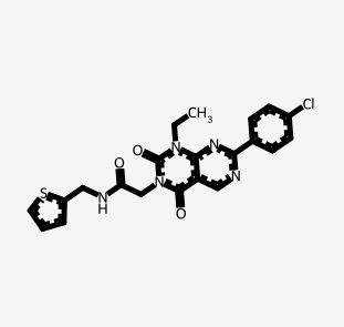 CCn1c(=O)n(CC(=O)NCc2cccs2)c(=O)c2cnc(-c3ccc(Cl)cc3)nc21